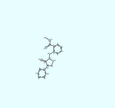 COC(=O)c1ccccc1CC1CCN(c2ccccc2)C1=O